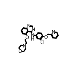 Clc1cc(Nc2ncnc3cccc(OCCN4CCOCC4)c23)ccc1OCc1ccccn1